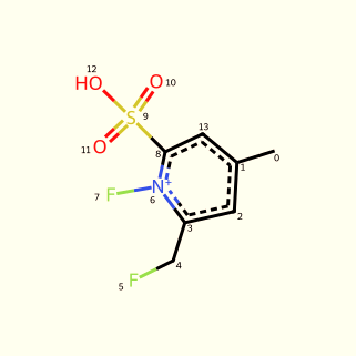 Cc1cc(CF)[n+](F)c(S(=O)(=O)O)c1